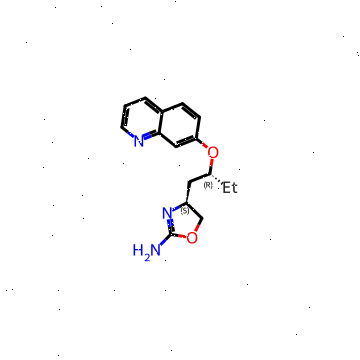 CC[C@H](C[C@H]1COC(N)=N1)Oc1ccc2cccnc2c1